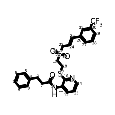 O=C(CCc1ccccc1)Nc1cccnc1SCCS(=O)(=O)CC=Cc1cccc(C(F)(F)F)c1